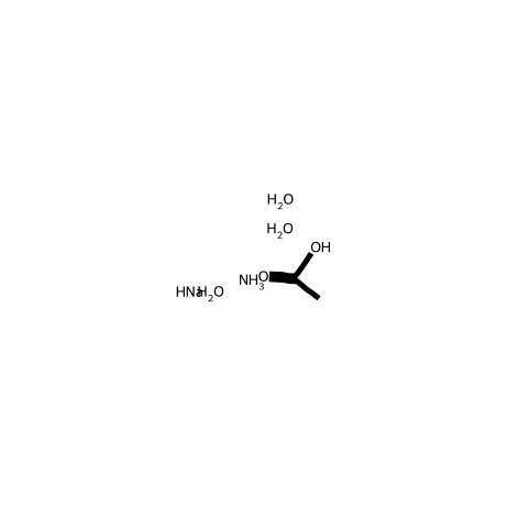 CC(=O)O.N.O.O.O.[NaH]